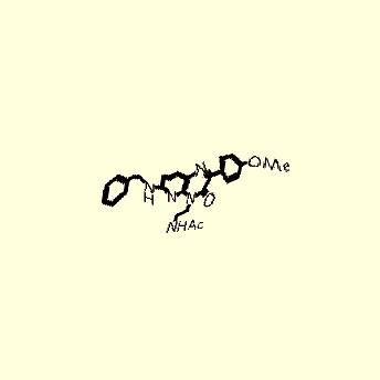 COc1ccc(-c2nc3ccc(NCc4ccccc4)nc3n(CCNC(C)=O)c2=O)cc1